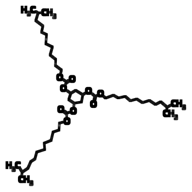 CC(C)CCCCCCCCCCOC(=O)OC1CC(OC(=O)OCCCCCCCCCCC(C)C)CC(OC(=O)OCCCCCCCCCCC(C)C)C1